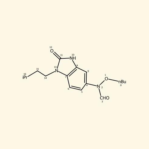 CCCCON(C=O)c1ccc2c(c1)[nH]c(=O)n2CCC(C)C